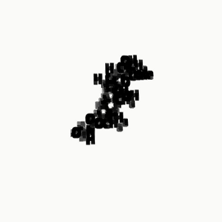 COC(C1C[C@@H](C)[C@H]2C(O1)[C@H](O)[C@@]1(C)C3CC[C@H]4C(C)(C)C(OC(=O)NC5COC5)CCC45CC35CCC21C)C(C)(C)O